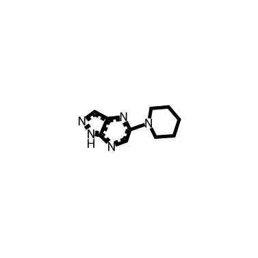 c1nc2[nH]ncc2nc1N1CCCCC1